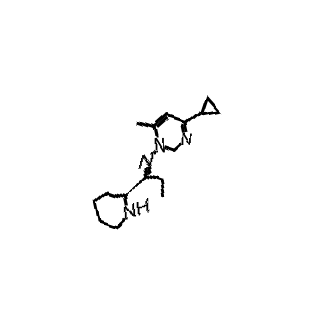 CC/C(=N\N1CN=C(C2CC2)C=C1C)[C@@H]1CCCCN1